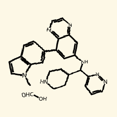 Cn1ccc2ccc(-c3cc(NC(c4cccnn4)C4CCNCC4)cc4nccnc34)cc21.O=CO